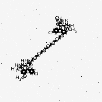 CCNC(=O)C[C@@H]1N=C(c2ccc(Cl)cc2)c2cc(OCCOCCOCCOCCOCCOCCOCCNC(=O)C[C@@H]3N=C(c4ccc(Cl)cc4)c4cc(OC)ccc4N4C(C)NNC34)ccc2N2C(C)NNC12